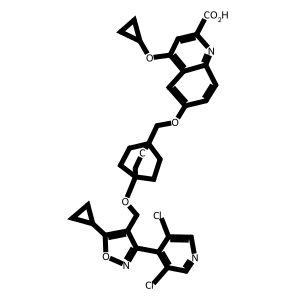 O=C(O)c1cc(OC2CC2)c2cc(OCC34CCC(OCc5c(-c6c(Cl)cncc6Cl)noc5C5CC5)(CC3)CC4)ccc2n1